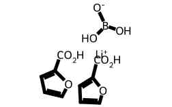 O=C(O)c1ccco1.O=C(O)c1ccco1.[Li+].[O-]B(O)O